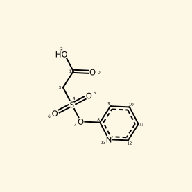 O=C(O)CS(=O)(=O)Oc1ccccn1